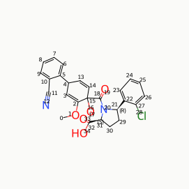 COC1=CC(c2ccccc2C#N)C=CC1(OC)C(=O)N1[C@@H](c2ccccc2Cl)CC[C@H]1C(=O)O